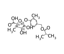 Cc1cc(COC(=O)C(C)C)ccc1O[C@H]1O[C@H](C(=O)O)[C@@H](C)[C@H](O)[C@H]1O